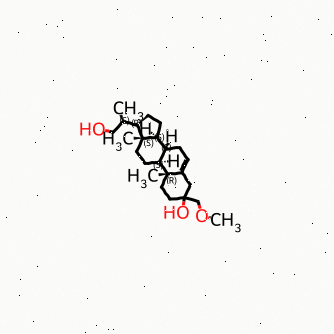 COCC1(O)CC[C@@]2(C)C(=CC[C@H]3[C@@H]4CC[C@H]([C@H](C)CO)[C@@]4(C)CC[C@@H]32)C1